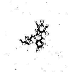 CCc1coc(CSc2nc3c(c(=O)n(C)c(=O)n3C)n2Cc2ccc(F)cc2)n1